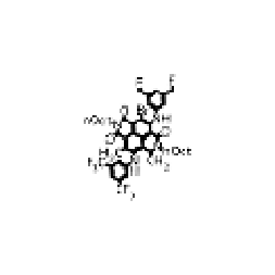 C=c1c2c(Nc3cc(C(F)(F)F)cc(C(F)(F)F)c3)c(C)c3c4c(c(Br)c(Nc5cc(CF)cc(CF)c5)c(c(=O)n1CCCCCCCC)c42)C(=O)N(CCCCCCCC)C3=O